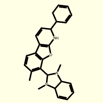 Cc1ccc2c3c(oc2c1C1N(C)C2C=CC=CC2N1C)NC(C1C=CC=CC1)C=C3